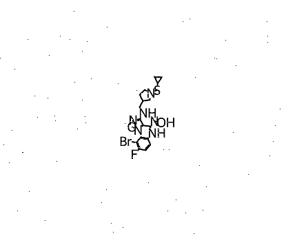 O/N=C(\Nc1ccc(F)c(Br)c1)c1nonc1NCC1CCN(SC2CC2)C1